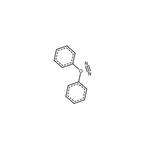 N#N.c1ccc(Oc2ccccc2)cc1